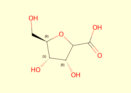 O=C(O)C1O[C@H](CO)[C@@H](O)[C@H]1O